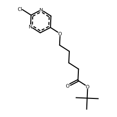 CC(C)(C)OC(=O)CCCCOc1cnc(Cl)nc1